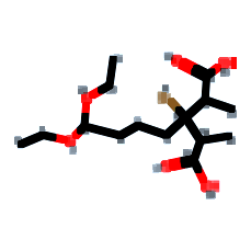 CCOC(CCCC(Br)(C(C)C(=O)O)C(C)C(=O)O)OCC